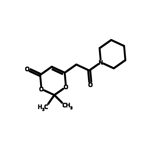 CC1(C)OC(=O)C=C(CC(=O)N2CCCCC2)O1